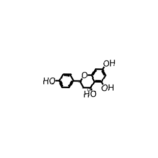 Oc1ccc(C2C[C@H](O)c3c(O)cc(O)cc3O2)cc1